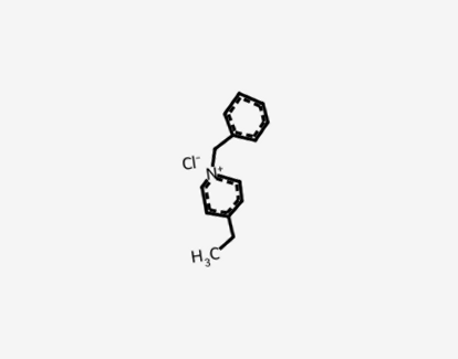 CCc1cc[n+](Cc2ccccc2)cc1.[Cl-]